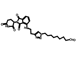 O=CCCCCCCCCn1cc(CCNc2cccc3c2C(=O)N(C2CCC(=O)NC2=O)C3=O)nn1